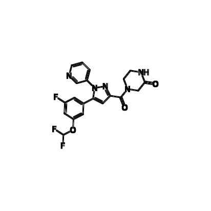 O=C1CN(C(=O)c2cc(-c3cc(F)cc(OC(F)F)c3)n(-c3cccnc3)n2)CCN1